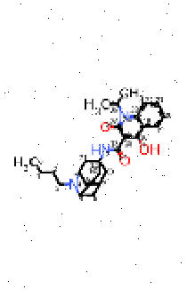 CCCCN1C2CC3CC1CC(NC(=O)c1c(O)c4ccccc4n(C(C)C)c1=O)(C3)C2